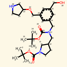 CC(C)(C)OC(=O)N1CCC(CN(Cc2cc(CO)cc(COC3CCNC3)c2)C(=O)OC(C)(C)C)C1